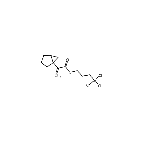 C=C(C(=O)OCCC[Si](Cl)(Cl)Cl)C12CCCC1C2